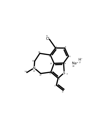 C=Cc1sc2ccc(Cl)c3c2c1CN(C)CC3.[H-].[Na+]